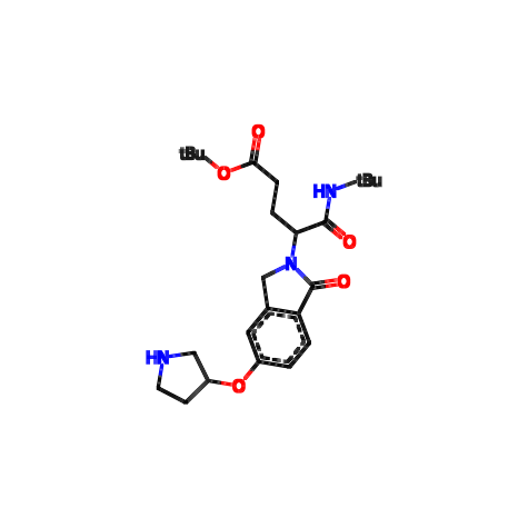 CC(C)(C)NC(=O)C(CCC(=O)OC(C)(C)C)N1Cc2cc(OC3CCNC3)ccc2C1=O